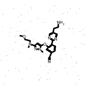 COCCN(C)c1cc(Oc2cc(C#N)ccc2-c2ncc(CCN)cn2)n(C)n1